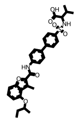 CCC(C)Oc1cccc2oc(C(=O)Nc3ccc(-c4ccc(S(=O)(=O)NC(C(=O)O)C(C)C)cc4)cc3)c(C)c12